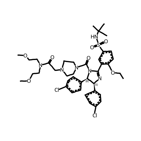 CCOc1ccc(S(=O)(=O)NC(C)(C)C)cc1C1=N[C@@H](c2ccc(Cl)cc2)[C@@H](c2ccc(Cl)cc2)N1C(=O)N1CCN(CC(=O)N(CCOC)CCOC)CC1